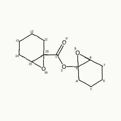 O=C(OC12CCCCC1O2)C12CCCCC1O2